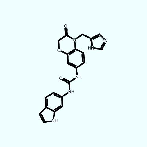 O=C(Nc1ccc2c(c1)OCC(=O)N2Cc1cnc[nH]1)Nc1ccc2cc[nH]c2c1